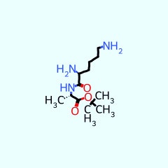 C[C@H](NC(=O)[C@@H](N)CCCCN)C(=O)OC(C)(C)C